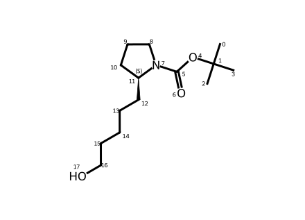 CC(C)(C)OC(=O)N1CCC[C@@H]1CCCCCO